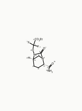 CCOC(=O)C(F)(F)ON1C(=O)N2C[C@H]1CC[C@H]2C(N)=O